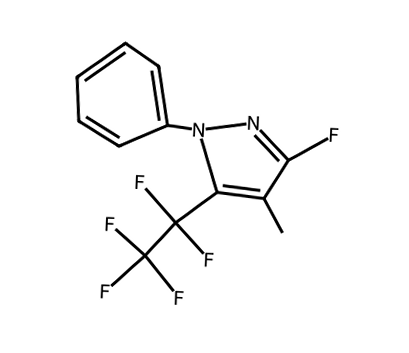 Cc1c(F)nn(-c2ccccc2)c1C(F)(F)C(F)(F)F